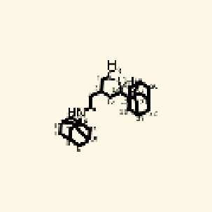 CCC(CCNC12CC3CC(CC(C3)C1)C2)CC(C)C12CC3CC(CC(C3)C1)C2